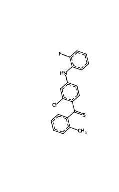 Cc1ccccc1C(=S)c1ccc(Nc2ccccc2F)cc1Cl